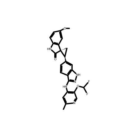 COc1ccc2c(c1)[C@]1(C[C@H]1c1ccc3c(Nc4cc(C)ncc4OC(F)F)n[nH]c3c1)C(=O)N2